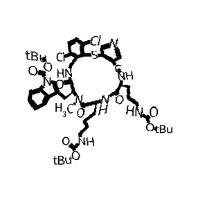 CN1C(=O)[C@H](CCCCNC(=O)OC(C)(C)C)NC(=O)[C@H](CCCNC(=O)OC(C)(C)C)NCc2ccncc2Sc2c(Cl)ccc(Cl)c2CNC(=O)[C@@H]1Cc1cn(C(=O)OC(C)(C)C)c2ccccc12